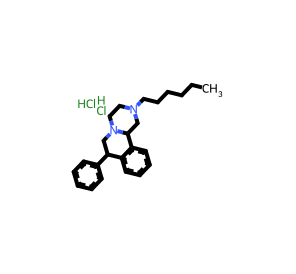 CCCCCCN1CCN2CC(c3ccccc3)c3ccccc3C2C1.Cl.Cl